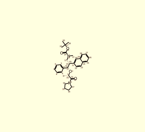 C[C@H](O[C@H](c1ccccc1)[C@H](CN(C)C(=O)OC(C)(C)C)c1ccc2ccccc2c1)C(=O)N1CCCC1